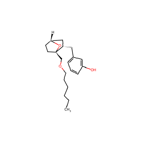 CCCCCCOC[C@]12CC[C@H](C[C@@H]1Cc1cccc(O)c1)O2